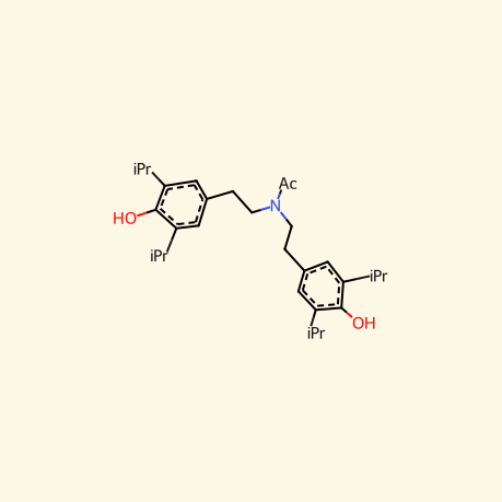 CC(=O)N(CCc1cc(C(C)C)c(O)c(C(C)C)c1)CCc1cc(C(C)C)c(O)c(C(C)C)c1